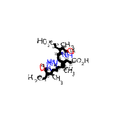 C=CC1=C(C)/C(=C/C2NC(/C=C3\NC(=O)C(C)=C3CCC(=O)O)C(CCC(=O)O)=C2C)NC1=O